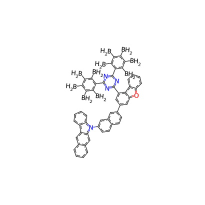 Bc1c(B)c(B)c(-c2nc(-c3c(B)c(B)c(B)c(B)c3B)nc(-c3cc(-c4ccc5ccc(-n6c7ccccc7c7cc8ccccc8cc76)cc5c4)cc4oc5ccccc5c34)n2)c(B)c1B